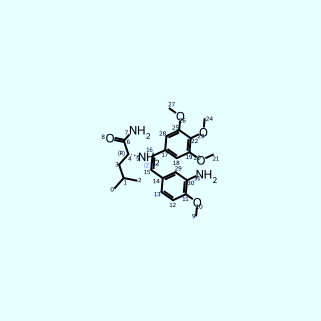 CC(C)C[C@@H](N)C(N)=O.COc1ccc(/C=C\c2cc(OC)c(OC)c(OC)c2)cc1N